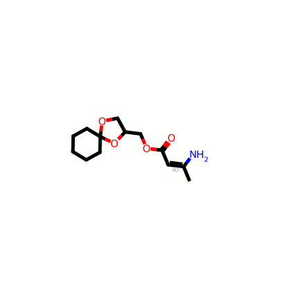 C/C(N)=C/C(=O)OCC1COC2(CCCCC2)O1